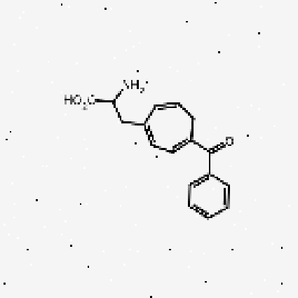 NC(CC1=CC=C(C(=O)c2ccccc2)CC=C1)C(=O)O